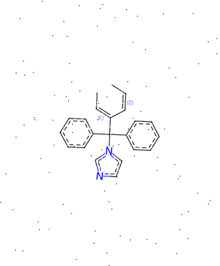 C/C=C\C(=C/C)C(c1ccccc1)(c1ccccc1)n1ccnc1